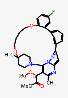 COC(=O)[C@@H](OC(C)(C)C)c1c(C)nc2cc3nn2c1N1CCC(C)(CC1)OCCCCOc1ccc(F)cc1-c1cccc-3c1